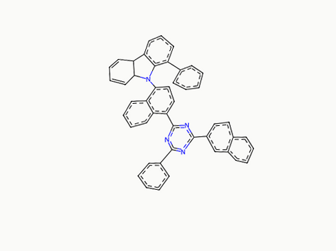 C1=CC2c3cccc(-c4ccccc4)c3N(c3ccc(-c4nc(-c5ccccc5)nc(-c5ccc6ccccc6c5)n4)c4ccccc34)C2C=C1